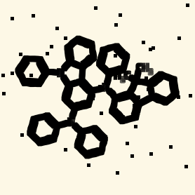 CC1(C)c2ccccc2-c2cccc(N(c3ccccc3)c3cc(N(c4ccccc4)c4ccccc4)cc4c3c3ccccc3n4-c3ccccc3)c21